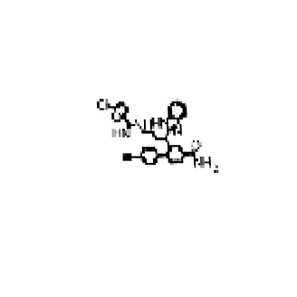 C#Cc1ccc(-c2ccc(C(N)=O)cc2C(CCCNC(=N)c2ccc(Cl)o2)c2nc3ccccc3[nH]2)cc1